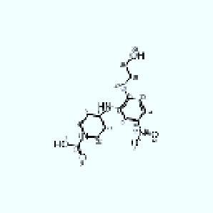 O=C(O)N1CCC(Nc2cc([N+](=O)[O-])ccc2SCCO)CC1